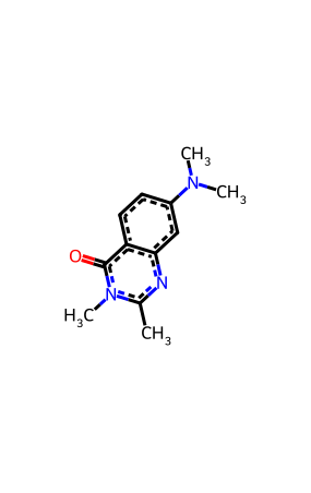 Cc1nc2cc(N(C)C)ccc2c(=O)n1C